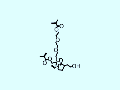 C=C[N+]1(C(COC(=O)C(=C)C)OCCOCCOCCOC(=O)C(=C)C)CCC(CCO)C1=O